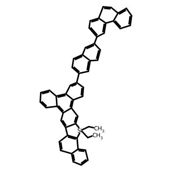 CC[Si]1(CC)c2cc3c4ccc(-c5ccc6cc(-c7ccc8ccc9ccccc9c8c7)ccc6c5)cc4c4ccccc4c3cc2-c2ccc3ccccc3c21